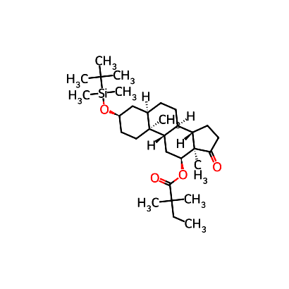 CCC(C)(C)C(=O)O[C@H]1C[C@H]2[C@@H](CC[C@@H]3C[C@H](O[Si](C)(C)C(C)(C)C)CC[C@@]32C)[C@@H]2CCC(=O)[C@@]12C